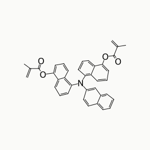 C=C(C)C(=O)Oc1cccc2c(N(c3ccc4ccccc4c3)c3cccc4c(OC(=O)C(=C)C)cccc34)cccc12